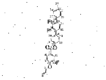 C=CCOc1ccc(C(=O)Oc2ccc(-c3ccc(-c4ccc(C)cc4)c(F)c3F)cc2)cc1F